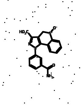 NC(=O)c1cccc(-n2nc(C(=O)O)c3c2-c2ccccc2[S+]([O-])C3)c1